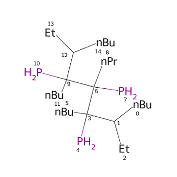 CCCCC(CC)C(P)(CCCC)C(P)(CCC)C(P)(CCCC)C(CC)CCCC